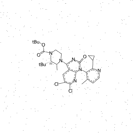 Cc1ccnc(C2CC2)c1-n1c(=O)nc(N2CCN(C(=O)OC(C)(C)C)[C@@H](C(C)(C)C)C2C)c2cc(Cl)c(Cl)nc21